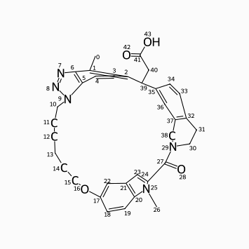 Cc1c2ccc3c1nnn3CCCCCCOc1ccc3c(c1)cc(n3C)C(=O)N1CCc3ccc(cc3C1)C2CC(=O)O